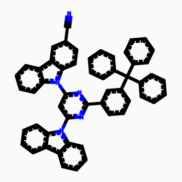 N#Cc1ccc2c(c1)c1ccccc1n2-c1cc(-n2c3ccccc3c3ccccc32)nc(-c2cccc(C(c3ccccc3)(c3ccccc3)c3ccccc3)c2)n1